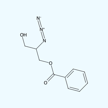 [N-]=[N+]=NC(CO)COC(=O)c1ccccc1